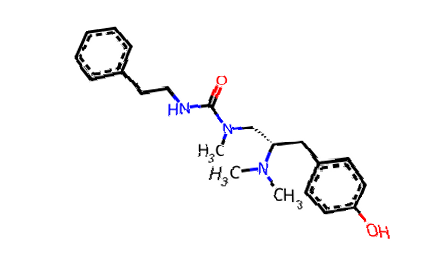 CN(C[C@H](Cc1ccc(O)cc1)N(C)C)C(=O)NCCc1ccccc1